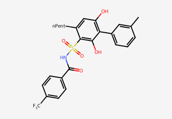 CCCCCc1cc(O)c(-c2cccc(C)c2)c(O)c1S(=O)(=O)NC(=O)c1ccc(C(F)(F)F)cc1